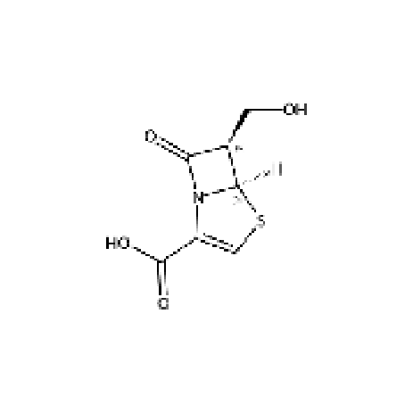 O=C(O)C1=CS[C@@H]2[C@H](CO)C(=O)N12